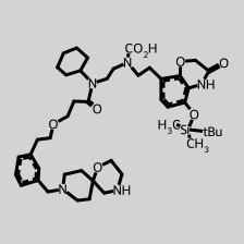 CC(C)(C)[Si](C)(C)Oc1ccc(CCN(CCN(C(=O)CCOCCc2cccc(CN3CCC4(CC3)CNCCO4)c2)C2CCCCC2)C(=O)O)c2c1NC(=O)CO2